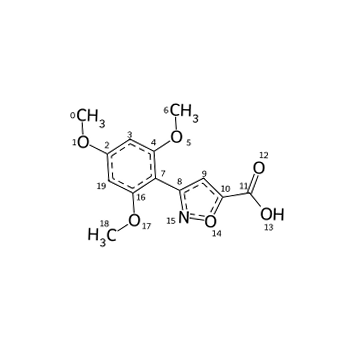 COc1cc(OC)c(-c2cc(C(=O)O)on2)c(OC)c1